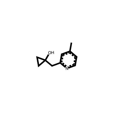 Cc1ccnc(CC2(O)CC2)c1